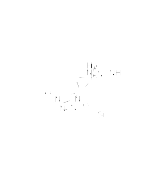 C[Si](C)(C)CCOCn1c(-c2ccc(NS(=O)(=O)N3CCNCC3)cc2)cc2c(N3CCOCC3)ncnc21